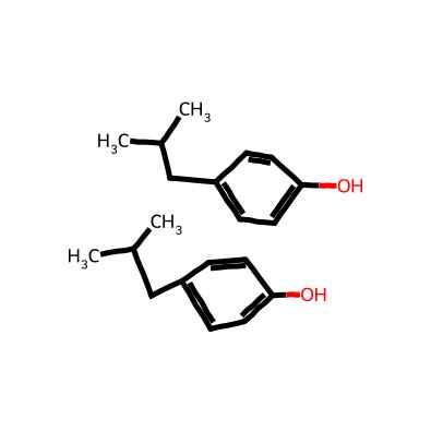 CC(C)Cc1ccc(O)cc1.CC(C)Cc1ccc(O)cc1